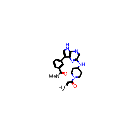 C=CC(=O)N1CCC(Nc2cnc3[nH]cc(-c4cccc(C(=O)NC)c4)c3n2)CC1